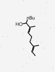 C/C=C(\C)CC/C=C(\C)C(O)CCCC